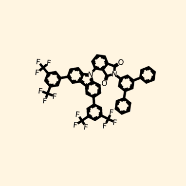 O=C1c2cccc(-n3c4ccc(-c5cc(C(F)(F)F)cc(C(F)(F)F)c5)cc4c4cc(-c5cc(C(F)(F)F)cc(C(F)(F)F)c5)ccc43)c2C(=O)N1c1cc(-c2ccccc2)cc(-c2ccccc2)c1